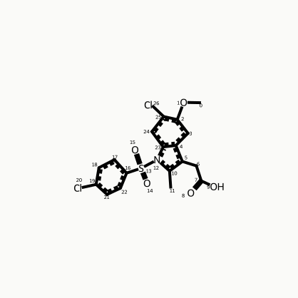 COc1cc2c(CC(=O)O)c(C)n(S(=O)(=O)c3ccc(Cl)cc3)c2cc1Cl